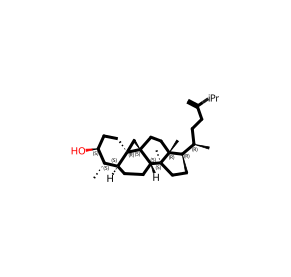 C=C(CC[C@@H](C)[C@H]1CC[C@@]2(C)[C@@H]3CC[C@H]4[C@H](C)[C@@H](O)CC[C@@]45C[C@@]35CC[C@]12C)C(C)C